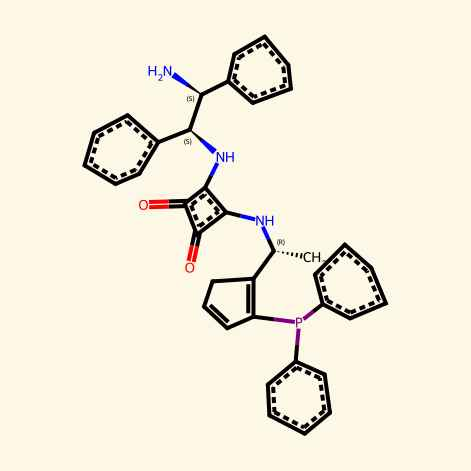 C[C@@H](Nc1c(N[C@@H](c2ccccc2)[C@@H](N)c2ccccc2)c(=O)c1=O)C1=C(P(c2ccccc2)c2ccccc2)C=CC1